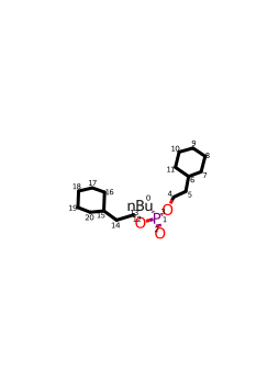 CCCCP(=O)(OCCC1CCCCC1)OCCC1CCCCC1